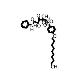 CCCCCCCCCCOc1ccc(S(=O)(=O)CC(C)(C)C(=O)C(O)C(=O)Nc2ccccc2)cc1